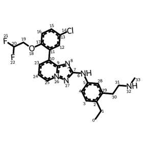 CCc1ccc(Nc2nc3c(-c4cc(Cl)ccc4OCC(F)F)cccn3n2)cc1CCNC